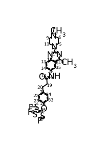 Cc1nc(N2CCN(C)CC2)nc2ccc(NC(=O)CCc3ccc(OC(SF)(SF)SF)cc3)cc12